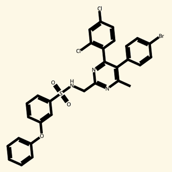 Cc1nc(CNS(=O)(=O)c2cccc(Oc3ccccc3)c2)nc(-c2ccc(Cl)cc2Cl)c1-c1ccc(Br)cc1